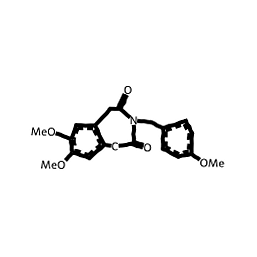 COc1ccc(CN2C(=O)Cc3cc(OC)c(OC)cc3CC2=O)cc1